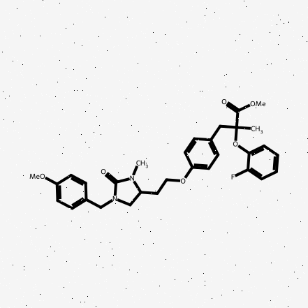 COC(=O)C(C)(Cc1ccc(OCCC2CN(Cc3ccc(OC)cc3)C(=O)N2C)cc1)Oc1ccccc1F